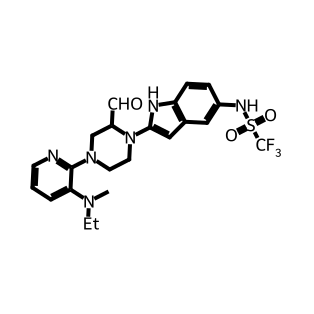 CCN(C)c1cccnc1N1CCN(c2cc3cc(NS(=O)(=O)C(F)(F)F)ccc3[nH]2)C(C=O)C1